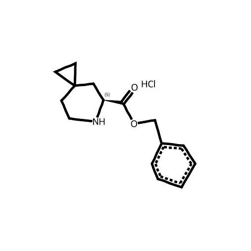 Cl.O=C(OCc1ccccc1)[C@@H]1CC2(CCN1)CC2